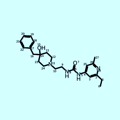 CCc1cc(NC(=O)NCCN2CCC(O)(Cc3ccccc3)CC2)cc(C)n1